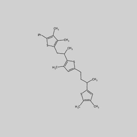 Cc1cc(C(C)CCc2cc(C)c(C(C)Cc3sc(C(C)C)c(C)c3C)s2)sc1C